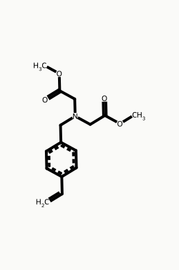 C=Cc1ccc(CN(CC(=O)OC)CC(=O)OC)cc1